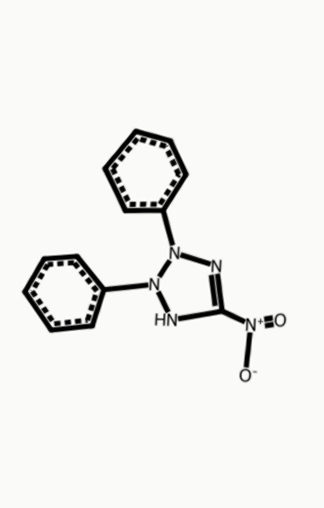 O=[N+]([O-])C1=NN(c2ccccc2)N(c2ccccc2)N1